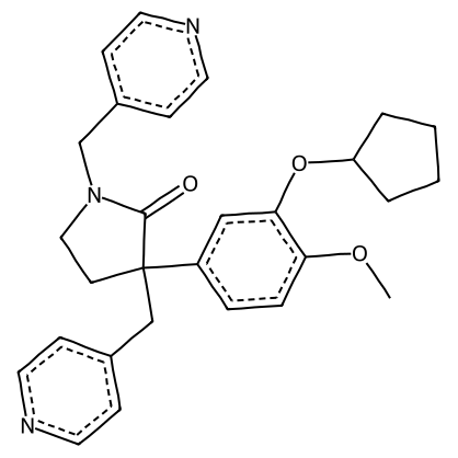 COc1ccc(C2(Cc3ccncc3)CCN(Cc3ccncc3)C2=O)cc1OC1CCCC1